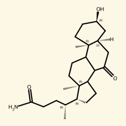 C[C@H](CCC(N)=O)[C@H]1CCC2C3C(=O)C[C@@H]4C[C@H](O)CC[C@]4(C)C3CC[C@@]21C